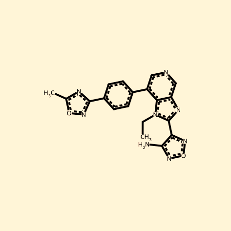 CCn1c(-c2nonc2N)nc2cncc(-c3ccc(-c4noc(C)n4)cc3)c21